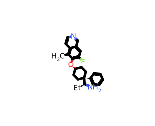 CC[C@H](N)[C@]1(c2ccccc2)CC[C@H](Oc2c(F)cc3cnccc3c2C)CC1